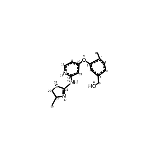 Cc1ccc(CO)cc1Oc1ccnc(NC2=NC(C)CS2)c1